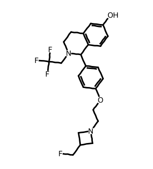 Oc1ccc2c(c1)CCN(CC(F)(F)F)C2c1ccc(OCCN2CC(CF)C2)cc1